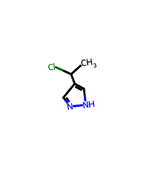 CC(Cl)c1cn[nH]c1